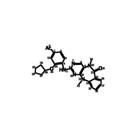 CC(=O)c1ccc(Nc2ncc3c(n2)N(C)c2ccccc2C(=O)N3C)c(OC2CCCC2)c1